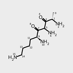 C[C@H](N)C(=O)[C](N)C(=O)[C@@H](N)CCCCN